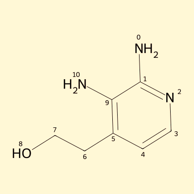 Nc1nccc(CCO)c1N